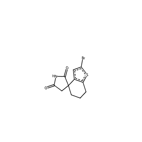 O=C1CC2(CCCc3sc(Br)cc32)C(=O)N1